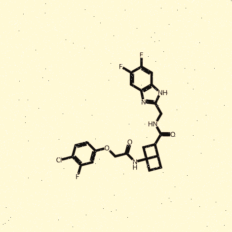 O=C(COc1ccc(Cl)c(F)c1)NC12CCC1C(C(=O)NCc1nc3cc(F)c(F)cc3[nH]1)C2